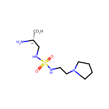 N[C@@H](CNS(=O)(=O)NCCN1CCCC1)C(=O)O